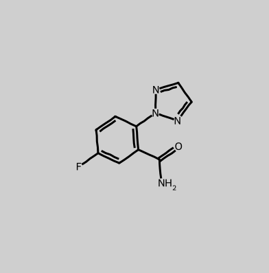 NC(=O)c1cc(F)ccc1-n1nccn1